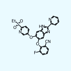 CCS(=O)(=O)c1ccc(Oc2cc3[nH]c(-c4ccccn4)nc3cc2Oc2c(F)cccc2C#N)cn1